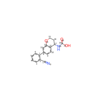 N#Cc1ccccc1-c1ccc2c(c1)OCCC2NC(=O)O